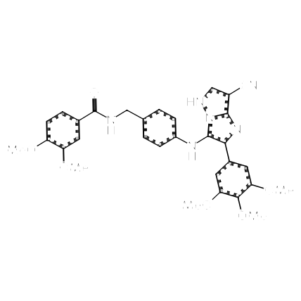 COc1ccc(C(=O)NCc2ccc(Nc3c(-c4cc(OC)c(OC)c(OC)c4)nc4c(C#N)c[nH]n34)cc2)cc1OC